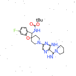 CC(C)(C)OC(=O)N[C@@H]1c2ccc(F)cc2OC12CCN(c1cnc(C(=N)N3CCCCC3)c(N)n1)CC2